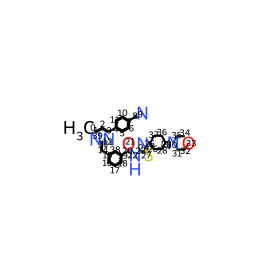 Cc1cc(-c2ccc(C#N)cc2)nc(Cc2cccc(C(=O)Nc3nc4c(s3)C[C@@H](N3CCOCC3)CC4)c2)n1